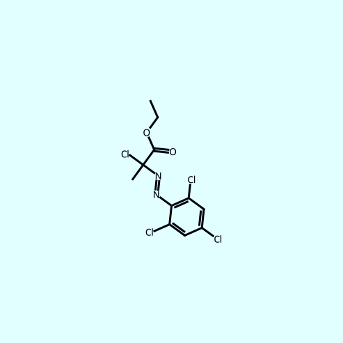 CCOC(=O)C(C)(Cl)N=Nc1c(Cl)cc(Cl)cc1Cl